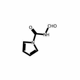 O=CNC(=O)n1cccc1